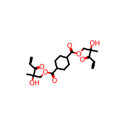 C=CC(=O)C(C)(O)COC(=O)C1CCC(C(=O)OCC(C)(O)C(=O)C=C)CC1